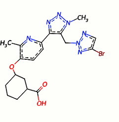 Cc1nc(-c2nnn(C)c2Cn2ncc(Br)n2)ccc1OC1CCCC(C(=O)O)C1